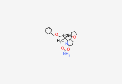 CC(C)(CCOCc1ccccc1)c1nc(OC(N)=O)ccc1C1(C)CCCO1